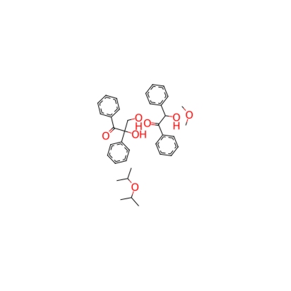 CC(C)OC(C)C.COC.O=C(c1ccccc1)C(O)(CO)c1ccccc1.O=C(c1ccccc1)C(O)c1ccccc1